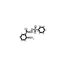 Nc1ccccc1C(=O)NOS(=O)(=O)c1ccccc1